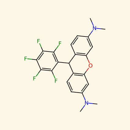 CN(C)c1ccc2c(c1)Oc1cc(N(C)C)ccc1C2c1c(F)c(F)c(F)c(F)c1F